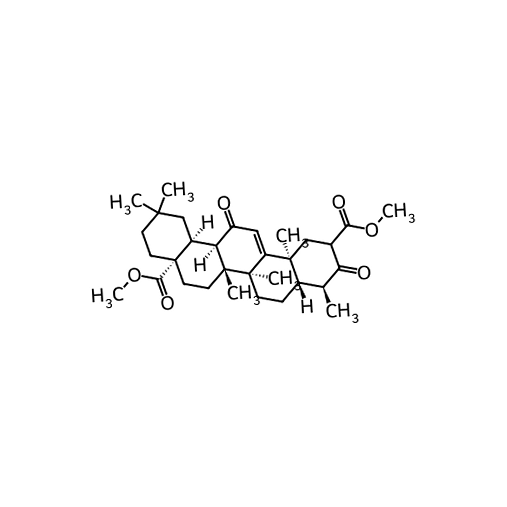 COC(=O)C1C[C@]2(C)C3=CC(=O)[C@@H]4[C@@H]5CC(C)(C)CC[C@]5(C(=O)OC)CC[C@@]4(C)[C@]3(C)CC[C@H]2[C@H](C)C1=O